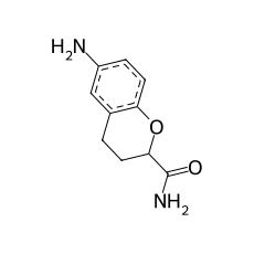 NC(=O)C1CCc2cc(N)ccc2O1